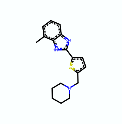 Cc1cccc2nc(-c3ccc(CN4CCCCC4)s3)[nH]c12